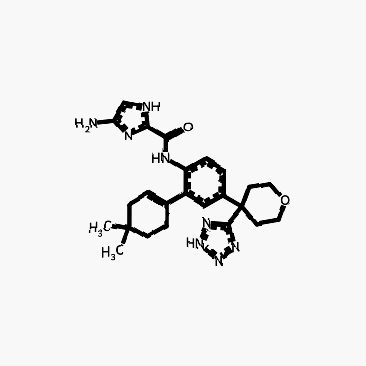 CC1(C)CC=C(c2cc(C3(c4nn[nH]n4)CCOCC3)ccc2NC(=O)c2nc(N)c[nH]2)CC1